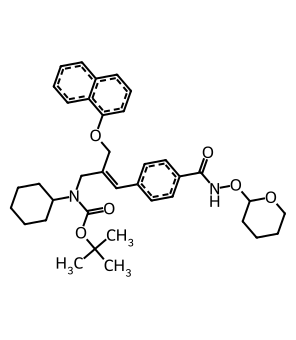 CC(C)(C)OC(=O)N(C/C(=C/c1ccc(C(=O)NOC2CCCCO2)cc1)COc1cccc2ccccc12)C1CCCCC1